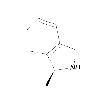 C/C=C\C1=C(C)[C@H](C)NC1